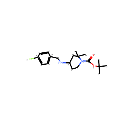 CC(C)(C)OC(=O)N1CCC(NCc2ccc(F)cc2)CC1(C)C